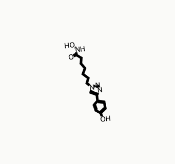 O=C(CCCCCCn1cc(-c2ccc(O)cc2)nn1)NO